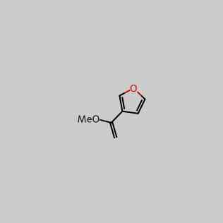 C=C(OC)c1ccoc1